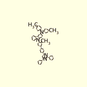 Cc1ccc(N(c2ccc(C)cc2)c2ccc3c(c2)c2ccccc2n3-c2ccc(-c3ccc(-c4cc(-c5ccccc5)nc(-c5ccccc5)n4)cc3)cc2C)cc1